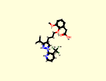 COc1cccc(CC(=O)O)c1OCCCc1cn(-c2ncccc2C(F)(F)F)nc1C(C)C